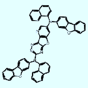 c1ccc2c(N(c3ccc4c(c3)oc3ccccc34)c3cnc4c(c3)oc3nc(N(c5ccc6c(c5)oc5ccccc56)c5cccc6ccccc56)nnc34)cccc2c1